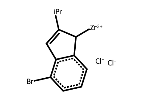 CC(C)C1=Cc2c(Br)cccc2[CH]1[Zr+2].[Cl-].[Cl-]